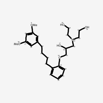 COc1cc(CCCCc2ccccc2OCC(O)CN(CCO)CCO)cc(OC)c1